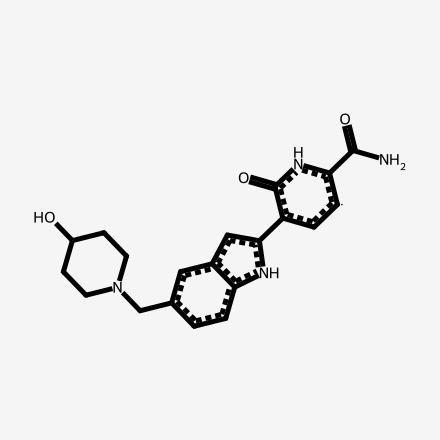 NC(=O)c1[c]cc(-c2cc3cc(CN4CCC(O)CC4)ccc3[nH]2)c(=O)[nH]1